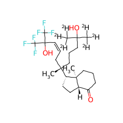 [2H]C([2H])([2H])C(O)(CCC[C@@](C)(CC=CC(O)(C(F)(F)F)C(F)(F)F)[C@H]1CC[C@H]2C(=O)CCC[C@]12C)C([2H])([2H])[2H]